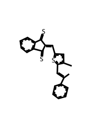 C/C(=C\c1sc(C=C2C(=S)c3ccccc3C2=S)cc1C)c1ccccc1